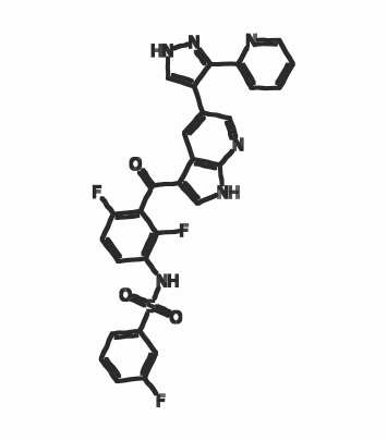 O=C(c1c(F)ccc(NS(=O)(=O)c2cccc(F)c2)c1F)c1c[nH]c2ncc(-c3c[nH]nc3-c3ccccn3)cc12